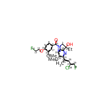 CCC(O)(CNC(=O)c1ccc(OCCF)c(OC)c1)c1ccc(OC)c(/C(C)=C/C(Cl)=C/F)n1